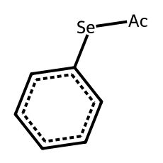 CC(=O)[Se]c1ccccc1